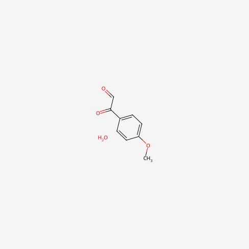 COc1ccc(C(=O)C=O)cc1.O